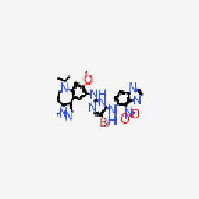 COc1cc2c(cc1Nc1ncc(Br)c(Nc3ccc4nccnc4c3[N+](=O)[O-])n1)-c1cnn(C)c1CCN2C(C)C